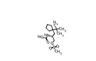 CC(C)(C)C1(CC(COS(C)(=O)=O)NC(=O)O)CCCC1